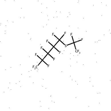 FC(F)(F)C(F)(F)SC(F)(F)C(F)(F)C(F)(F)C(F)(F)C(F)(F)F